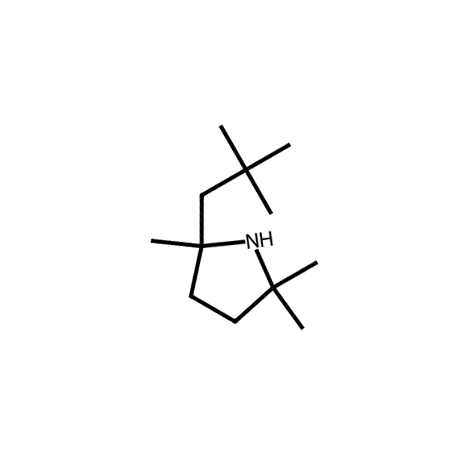 CC(C)(C)CC1(C)CCC(C)(C)N1